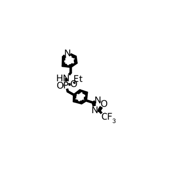 CCOP(=O)(Cc1ccc(-c2noc(C(F)(F)F)n2)cc1)NCc1ccncc1